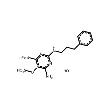 CCCCCc1nc(NCCCc2ccccc2)nc(N)[n+]1OS(=O)(=O)O.[OH-]